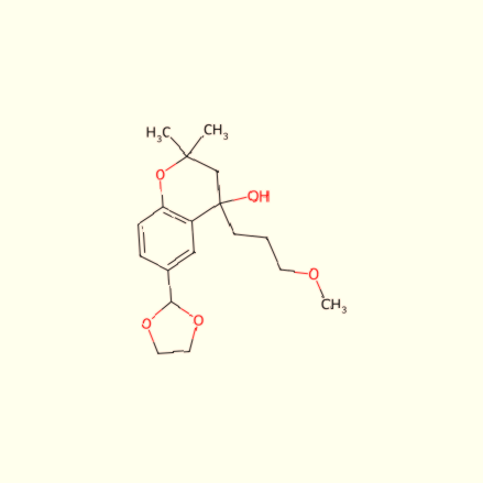 COCCCC1(O)CC(C)(C)Oc2ccc(C3OCCO3)cc21